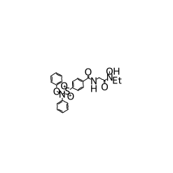 CCN(O)C(=O)CNC(=O)c1ccc(S(=O)(=O)N(Oc2ccccc2)c2ccccc2)cc1